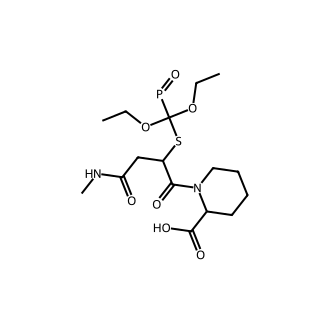 CCOC(OCC)(P=O)SC(CC(=O)NC)C(=O)N1CCCCC1C(=O)O